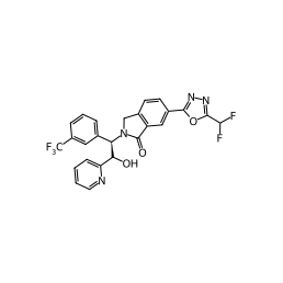 O=C1c2cc(-c3nnc(C(F)F)o3)ccc2CN1[C@H](c1cccc(C(F)(F)F)c1)C(O)c1ccccn1